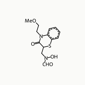 COCCN1C(=O)C(CN(O)C=O)Sc2ccccc21